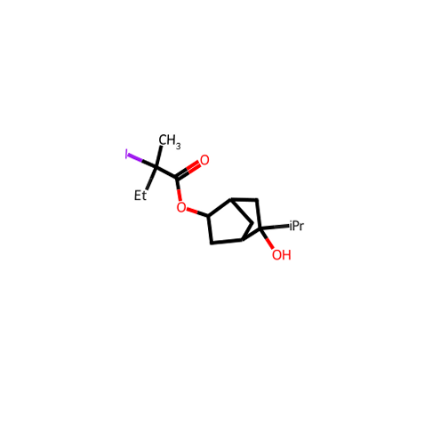 CCC(C)(I)C(=O)OC1CC2CC1CC2(O)C(C)C